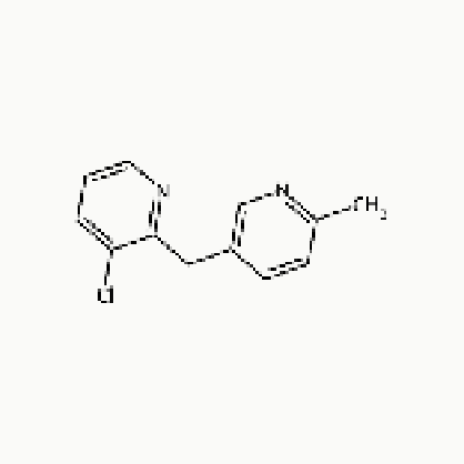 Cc1ccc(Cc2ncccc2Cl)cn1